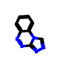 c1ccc2c(c1)nnc1nncn12